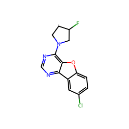 FC1[CH]CN(c2ncnc3c2oc2ccc(Cl)cc23)C1